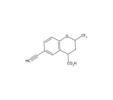 C#Cc1ccc2c(c1)C(C(=O)O)CC(C(F)(F)F)O2